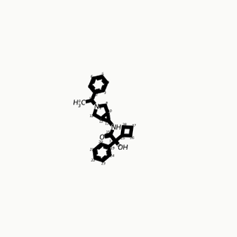 CC(c1ccccc1)N1CC2C(C1)C2NC(=O)C(O)(c1ccccc1)C1CCC1